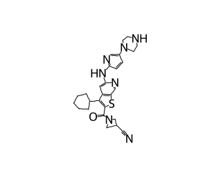 N#CC1CN(C(=O)c2sc3cnc(Nc4ccc(N5CCNCC5)cn4)cc3c2C2CCCCC2)C1